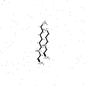 C=CCNCCCC.C=CCNCCCCCCC